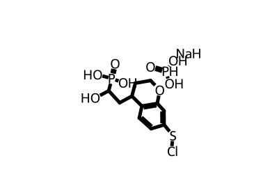 O=P(O)(O)C(O)CC1CCOc2cc(SCl)ccc21.O=[PH](O)O.[NaH]